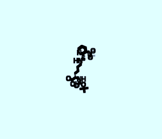 CC(C)(C)OC(=O)N[C@@H](CCCCNSc1ncccc1[N+](=O)[O-])C(=O)O